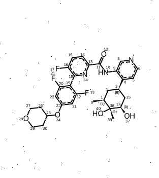 C[C@H]1C[C@@H](c2ccncc2NC(=O)c2ccc(F)c(-c3c(F)cc(OC4CCOCC4)cc3F)n2)C[C@@H](O)[C@]1(C)O